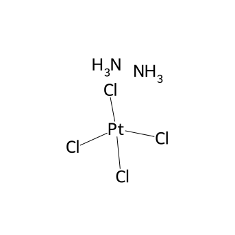 N.N.[Cl][Pt]([Cl])([Cl])[Cl]